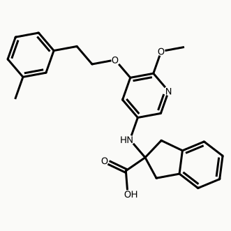 COc1ncc(NC2(C(=O)O)Cc3ccccc3C2)cc1OCCc1cccc(C)c1